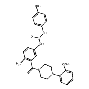 CCCCc1ccc(N[S+]([O-])Nc2ccc(C)c(C(=O)N3CCN(c4ccccc4OC)CC3)c2)cc1